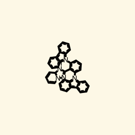 C1=CC2NC(c3c(-n4c5ccccc5c5ccccc54)cccc3-n3c4ccccc4c4ccccc43)=NN2C=C1